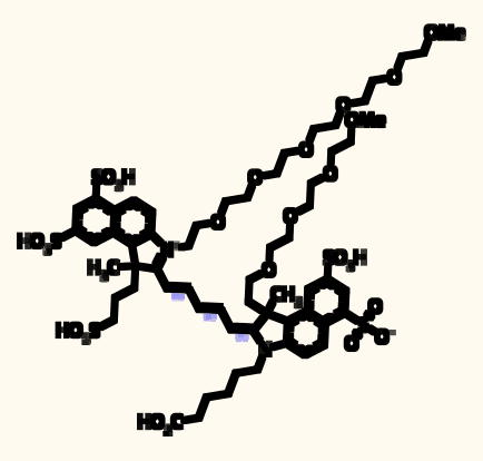 COCCOCCOCCOCCOCCOCC[N+]1=C(/C=C/C=C/C=C2/N(CCCCCC(=O)O)c3ccc4c(S(=O)(=O)[O-])cc(S(=O)(=O)O)cc4c3C2(C)CCOCCOCCOCCOC)C(C)(CCCS(=O)(=O)O)c2c1ccc1c(S(=O)(=O)O)cc(S(=O)(=O)O)cc21